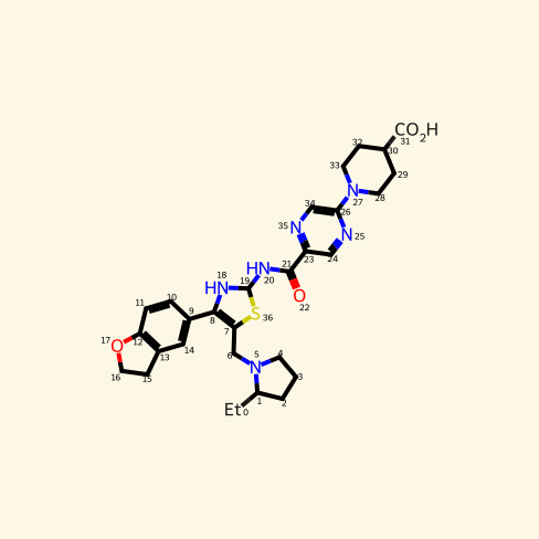 CCC1CCCN1CC1=C(c2ccc3c(c2)CCO3)NC(NC(=O)c2cnc(N3CCC(C(=O)O)CC3)cn2)S1